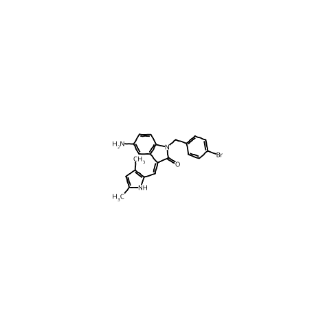 Cc1cc(C)c(C=C2C(=O)N(Cc3ccc(Br)cc3)c3ccc(N)cc32)[nH]1